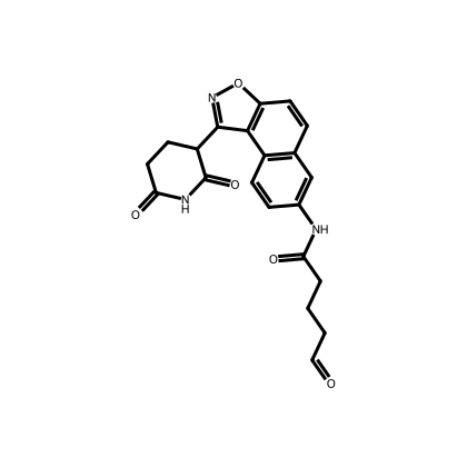 O=CCCCC(=O)Nc1ccc2c(ccc3onc(C4CCC(=O)NC4=O)c32)c1